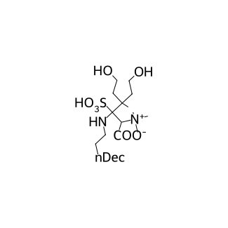 CCCCCCCCCCCCNC(C(C(=O)[O-])[N+](C)(C)C)(C(C)(CCO)CCO)S(=O)(=O)O